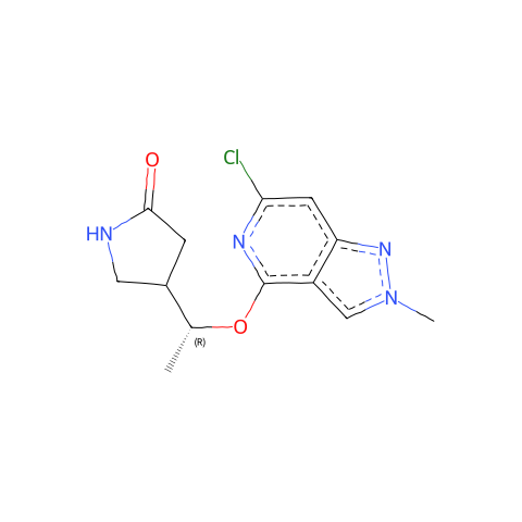 C[C@@H](Oc1nc(Cl)cc2nn(C)cc12)C1CNC(=O)C1